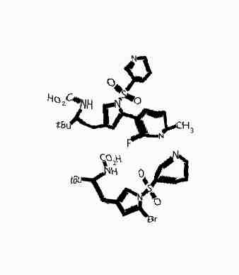 CC(C)(C)C(Cc1cc(Br)n(S(=O)(=O)c2cccnc2)c1)NC(=O)O.Cc1ccc(-c2cc(CC(NC(=O)O)C(C)(C)C)cn2S(=O)(=O)c2cccnc2)c(F)n1